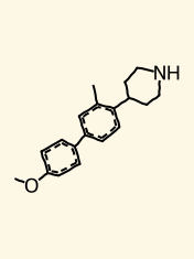 COc1ccc(-c2ccc(C3CCNCC3)c(C)c2)cc1